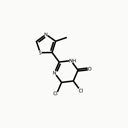 Cc1ncsc1C1=NC(Cl)C(Cl)C(=O)N1